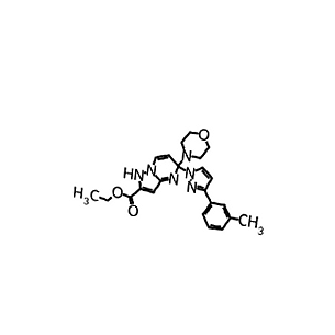 CCOC(=O)C1=CC2=NC(N3CCOCC3)(n3ccc(-c4cccc(C)c4)n3)C=CN2N1